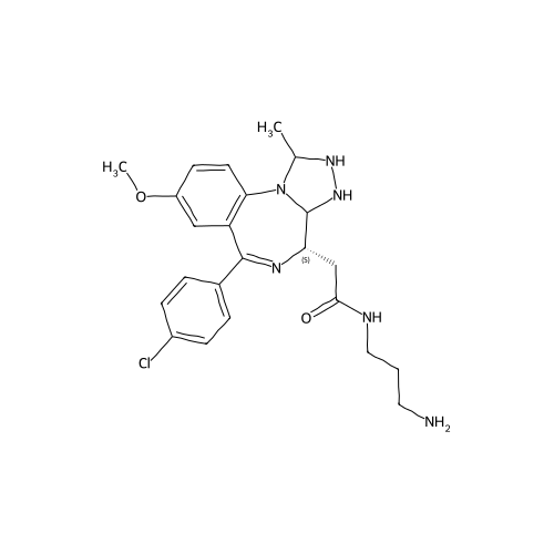 COc1ccc2c(c1)C(c1ccc(Cl)cc1)=N[C@@H](CC(=O)NCCCN)C1NNC(C)N21